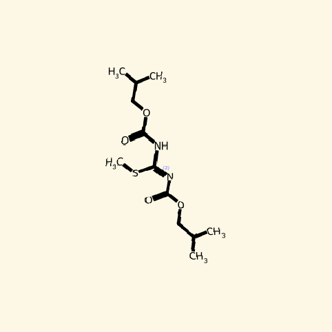 CS/C(=N\C(=O)OCC(C)C)NC(=O)OCC(C)C